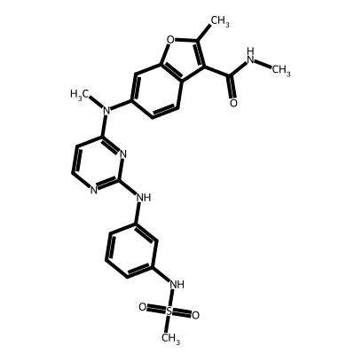 CNC(=O)c1c(C)oc2cc(N(C)c3ccnc(Nc4cccc(NS(C)(=O)=O)c4)n3)ccc12